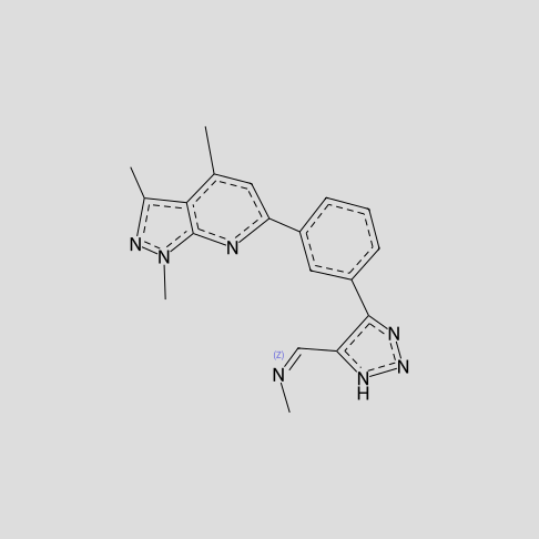 C/N=C\c1[nH]nnc1-c1cccc(-c2cc(C)c3c(C)nn(C)c3n2)c1